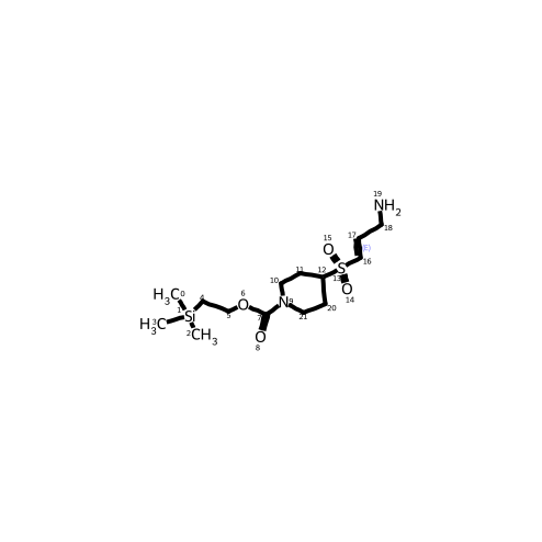 C[Si](C)(C)CCOC(=O)N1CCC(S(=O)(=O)/C=C/CN)CC1